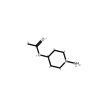 CC(=O)OC1CCN(N)CC1